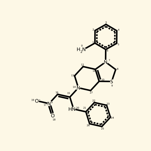 Nc1ccccc1N1CSC2=C1CCN(C(=C[N+](=O)[O-])Nc1ccccc1)C2